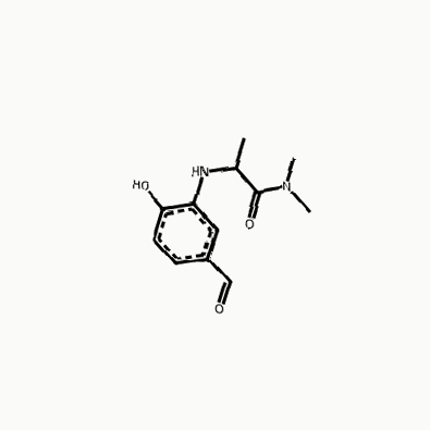 CC(Nc1cc(C=O)ccc1O)C(=O)N(C)C